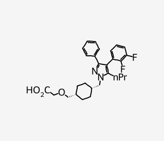 CCCc1c(-c2cccc(F)c2F)c(-c2ccccc2)nn1C[C@H]1CC[C@@H](COCC(=O)O)CC1